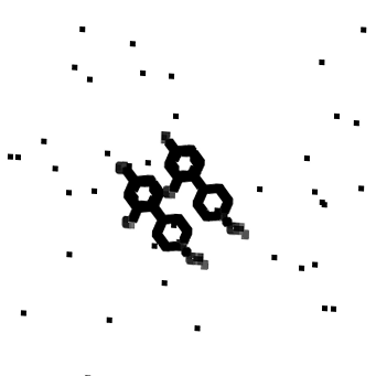 CN1CCC(c2ccc(Cl)cc2Cl)CC1.CN1CCC(c2ccc(F)cc2Cl)CC1